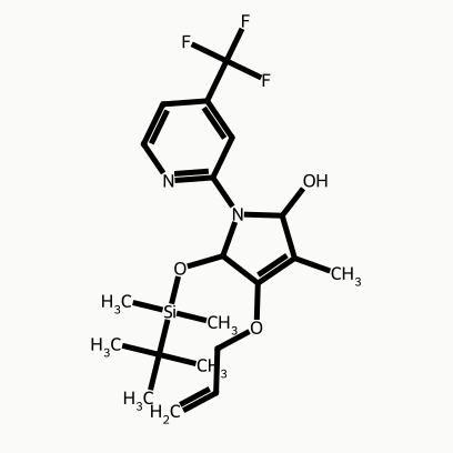 C=CCOC1=C(C)C(O)N(c2cc(C(F)(F)F)ccn2)C1O[Si](C)(C)C(C)(C)C